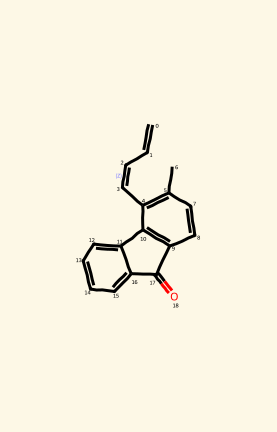 C=C/C=C\c1c(C)ccc2c1-c1ccccc1C2=O